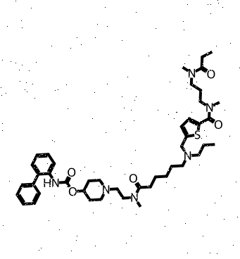 CCCN(CCCCCC(=O)N(C)CCN1CCC(OC(=O)Nc2ccccc2-c2ccccc2)CC1)Cc1ccc(C(=O)N(C)CCCN(C)C(=O)CC)s1